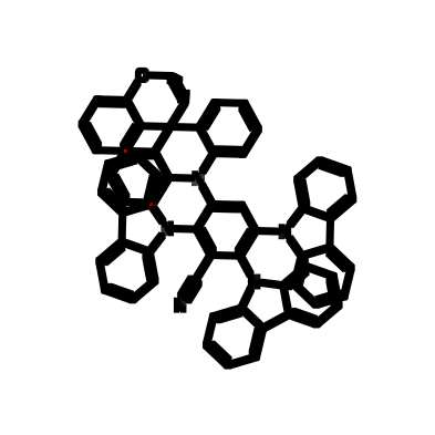 N#Cc1c(-n2c3ccccc3c3ccccc32)c(N2c3ccccc3C3(c4ccccc4Oc4ccccc43)c3ccccc32)cc(-n2c3ccccc3c3ccccc32)c1-n1c2ccccc2c2ccccc21